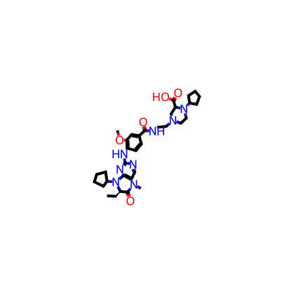 CC[C@@H]1C(=O)N(C)c2cnc(Nc3ccc(C(=O)NCCN4CCN(C5CCCC5)C(C(=O)O)C4)cc3OC)nc2N1C1CCCC1